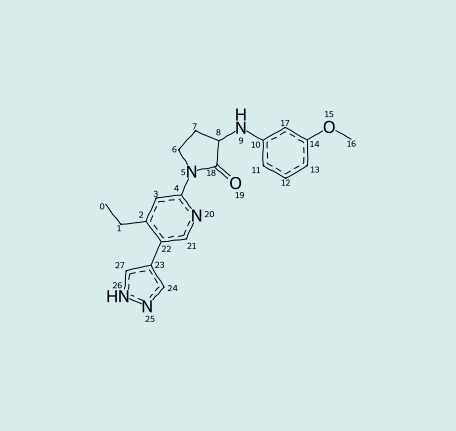 CCc1cc(N2CCC(Nc3cccc(OC)c3)C2=O)ncc1-c1cn[nH]c1